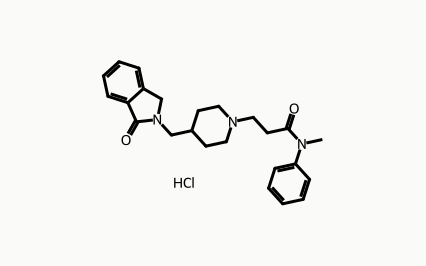 CN(C(=O)CCN1CCC(CN2Cc3ccccc3C2=O)CC1)c1ccccc1.Cl